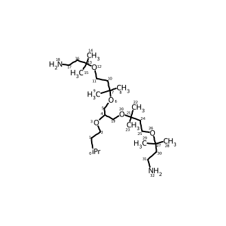 CC(C)CCOC(COC(C)(C)CCOC(C)(C)CCN)COC(C)(C)CCOC(C)(C)CCN